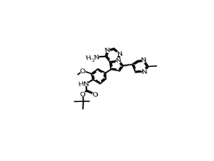 COc1cc(-c2cc(-c3cnc(C)nc3)n3ncnc(N)c23)ccc1NC(=O)OC(C)(C)C